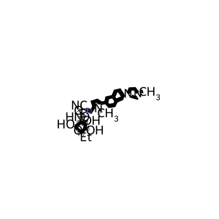 CC[C@H]1OC(O)[C@H](NS(=O)(=O)/C(C#N)=C/c2ccc(-c3ccc4cc(N5CCN(C)CC5)ccc4c3)n2C)[C@@H](O)[C@@H]1O